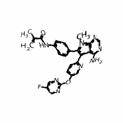 C=C(C)C(=O)Nc1ccc(-c2c(-c3ccc(Oc4ncc(F)cn4)cn3)c3c(N)ncnc3n2C)cc1